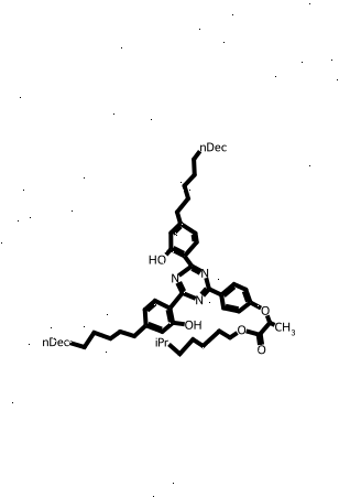 CCCCCCCCCCCCCCCc1ccc(-c2nc(-c3ccc(OC(C)C(=O)OCCCCCC(C)C)cc3)nc(-c3ccc(CCCCCCCCCCCCCCC)cc3O)n2)c(O)c1